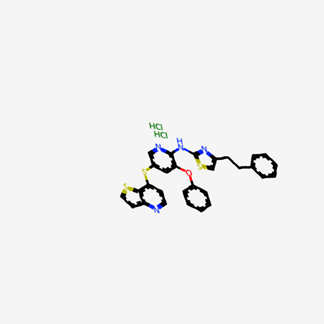 Cl.Cl.c1ccc(CCc2csc(Nc3ncc(Sc4ccnc5ccsc45)cc3Oc3ccccc3)n2)cc1